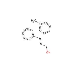 Cc1ccccc1.OCC=Cc1ccccc1